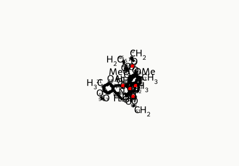 C=COC(=O)Oc1cc2c(cc1OC)[C@@]1(CS[C@@H]3c4c(OC(C)=O)c(C)c5c(c4[C@H](COC1=O)N1C3[C@@H]3c4c(cc(C)c(OC)c4OC(=O)OC=C)C[C@@H]([C@@H]1O)N3C)OCO5)N(C(=O)OC=C)CC2